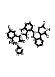 O=C1CCC(c2ccccc2CNc2cccc3c2C(=O)N(C(C(=O)Nc2nccs2)c2cc(F)ccc2O)C3)C(=O)N1